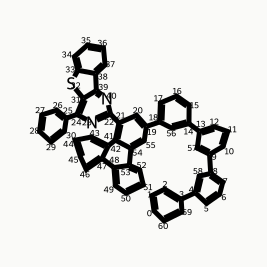 c1ccc(-c2cccc(-c3cccc(-c4cccc(-c5cc(-c6nc(-c7ccccc7)c7sc8ccccc8c7n6)c6c7ccccc7c7ccccc7c6c5)c4)c3)c2)cc1